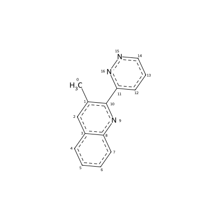 Cc1cc2ccccc2nc1-c1cccnn1